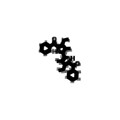 CCC1=C(C(=O)c2ccccc2)NC(c2[nH]c(C(=O)c3ccccc3)c(CC)c2C)C1C